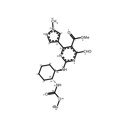 COC(=O)c1c(C=O)nc(N[C@@H]2CCCC[C@H]2NC(=O)OC(C)(C)C)nc1-c1cnn(C)c1